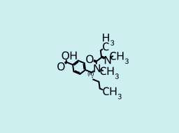 CCCC[C@H](c1ccc(C(=O)O)cc1)N(C)C(=O)C(CC)=NC